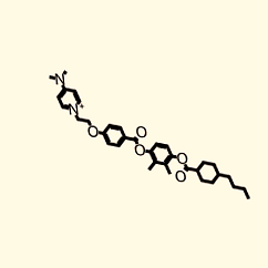 CCCCC1CCC(C(=O)Oc2ccc(OC(=O)c3ccc(OCC[n+]4ccc(N(C)C)cc4)cc3)c(C)c2C)CC1